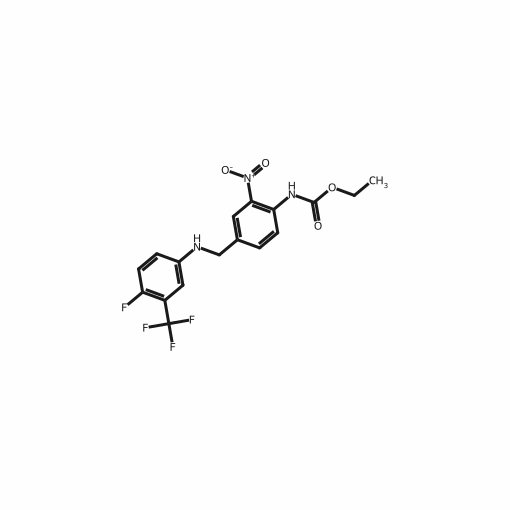 CCOC(=O)Nc1ccc(CNc2ccc(F)c(C(F)(F)F)c2)cc1[N+](=O)[O-]